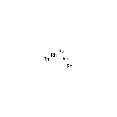 [Rh].[Rh].[Rh].[Rh].[Ru]